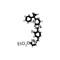 CCOC(=O)c1ccn(Cc2ccc(-c3nc4ccc(C5(c6ccccc6)CC5)nc4s3)c(F)c2)n1